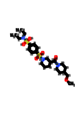 CCN(CC)S(=O)(=O)c1ccc(S(=O)(=O)N2CCCC(C(=O)N3CCC(COC)CC3)C2)cc1